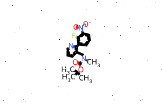 CN(Cc1cccnc1-c1cccc([N+](=O)[O-])c1F)C(=O)OC(C)(C)C